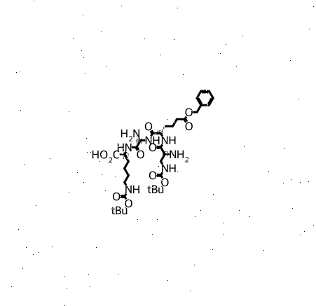 CC(C)(C)OC(=O)NCCCC[C@H](NC(=O)[C@H](N)NC(=O)[C@H](CCCC(=O)OCc1ccccc1)NC(=O)[C@@H](N)CNC(=O)OC(C)(C)C)C(=O)O